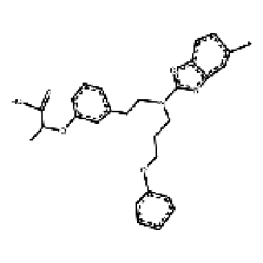 CC(Oc1cccc(CCN(CCCOc2ccccc2)c2nc3cc(F)ccc3o2)c1)C(=O)O